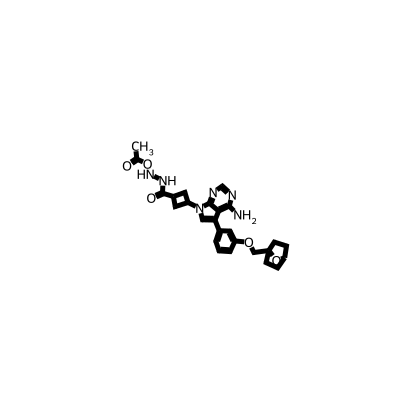 CC(=O)ONNC(=O)C1CC(n2cc(-c3cccc(OCC45CCC(CC4)O5)c3)c3c(N)ncnc32)C1